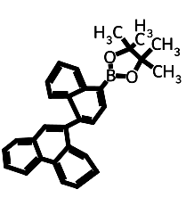 CC1(C)OB(c2ccc(-c3cc4ccccc4c4ccccc34)c3ccccc23)OC1(C)C